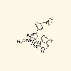 CNc1ncc(-c2ccc(CN3CCCC3)cc2)cc1-c1nnc(O)n1-c1cccc(F)c1F